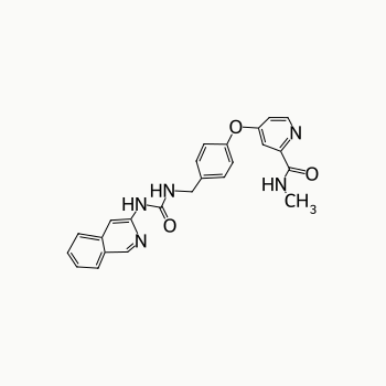 CNC(=O)c1cc(Oc2ccc(CNC(=O)Nc3cc4ccccc4cn3)cc2)ccn1